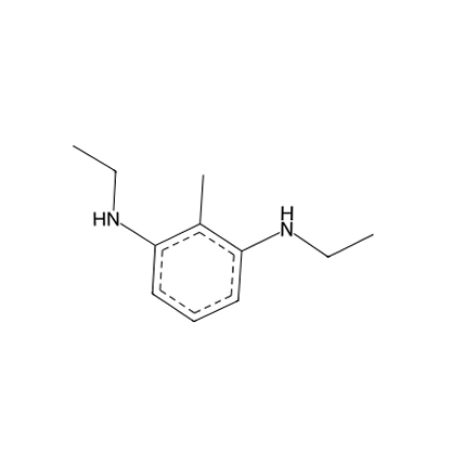 CCNc1cccc(NCC)c1C